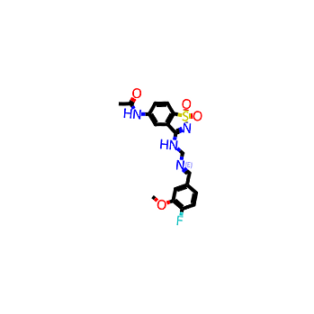 COc1cc(/C=N/CNC2=NS(=O)(=O)c3ccc(NC(C)=O)cc32)ccc1F